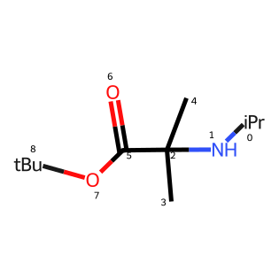 CC(C)NC(C)(C)C(=O)OC(C)(C)C